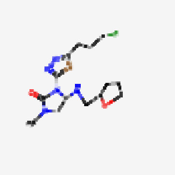 CN1CC(NCC2CCCO2)N(c2nnc(CCCCl)s2)C1=O